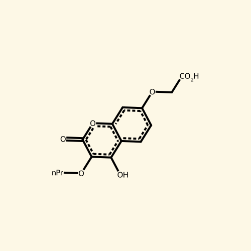 CCCOc1c(O)c2ccc(OCC(=O)O)cc2oc1=O